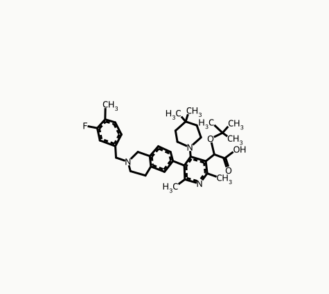 Cc1ccc(CN2CCc3cc(-c4c(C)nc(C)c(C(OC(C)(C)C)C(=O)O)c4N4CCC(C)(C)CC4)ccc3C2)cc1F